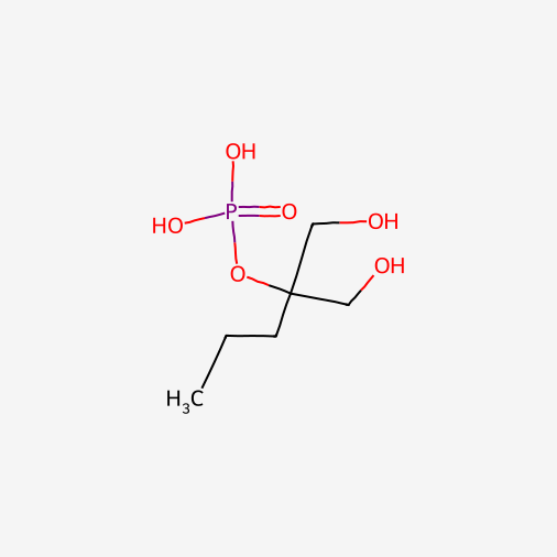 CCCC(CO)(CO)OP(=O)(O)O